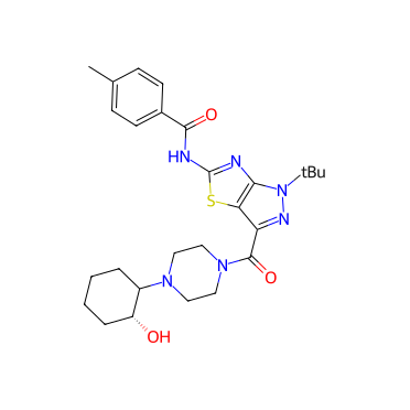 Cc1ccc(C(=O)Nc2nc3c(s2)c(C(=O)N2CCN(C4CCCC[C@H]4O)CC2)nn3C(C)(C)C)cc1